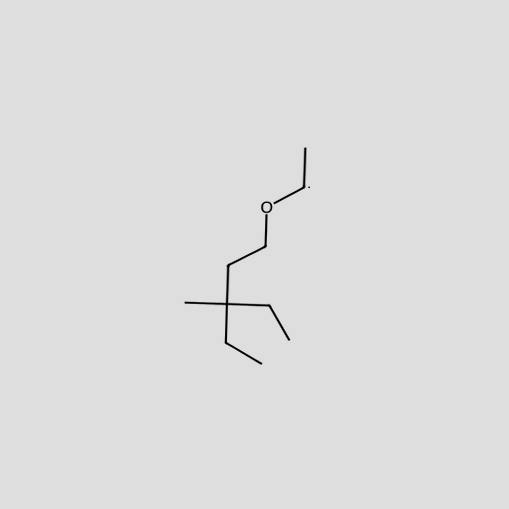 C[CH]OCCC(C)(CC)CC